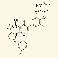 Cc1cc(Oc2ccc(C(=O)N[C@H](CO)C(=O)N3C(C(C)(C)C#N)CC[C@H]3c3cccc(Cl)c3)cc2C)c(=O)[nH]n1